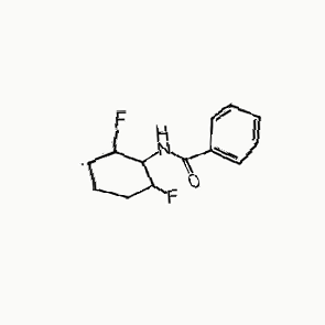 O=C(NC1C(F)[CH]CCC1F)c1ccccc1